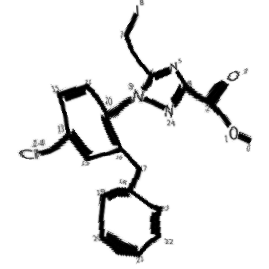 COC(=O)c1nc(CI)n(-c2ccc(Cl)cc2Cc2ccccc2)n1